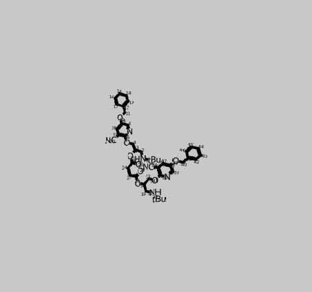 CC(C)(C)NCC(COc1ncc(OCc2ccccc2)cc1C#N)OC(=O)/C=C\C(=O)OC(CNC(C)(C)C)COc1ncc(OCc2ccccc2)cc1C#N